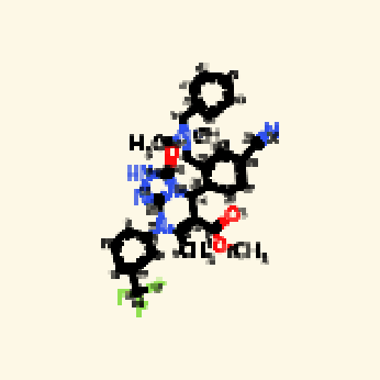 COC(=O)C1=C(C)N(c2cccc(C(F)(F)F)c2)c2n[nH]c(=O)n2C1c1ccc(C#N)cc1C[N+](C)(C)Cc1ccccc1